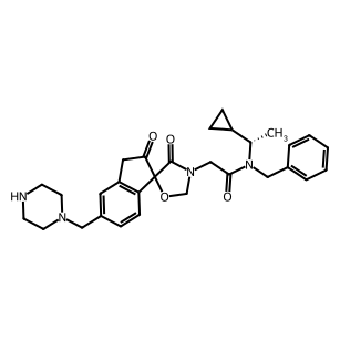 C[C@@H](C1CC1)N(Cc1ccccc1)C(=O)CN1COC2(C(=O)Cc3cc(CN4CCNCC4)ccc32)C1=O